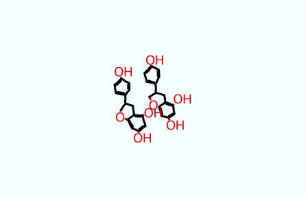 Oc1ccc(C2COc3cc(O)cc(O)c3C2)cc1.Oc1ccc(C2COc3cc(O)cc(O)c3C2)cc1